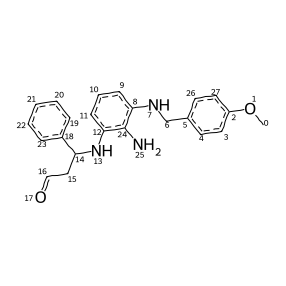 COc1ccc(CNc2cccc(NC(CC=O)c3ccccc3)c2N)cc1